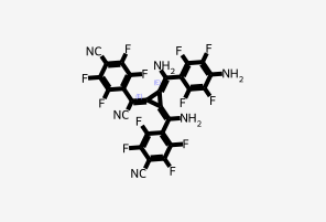 N#C/C(=C1\C(=C(N)c2c(F)c(F)c(C#N)c(F)c2F)\C1=C(\N)c1c(F)c(F)c(N)c(F)c1F)c1c(F)c(F)c(C#N)c(F)c1F